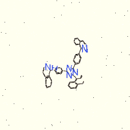 C=C/C(c1nc(-c2ccc(-c3nccc4ccccc34)cc2)nc(-c2ccc(C3NC=Cc4ccccc43)cc2)n1)=c1/cccc/c1=C/C